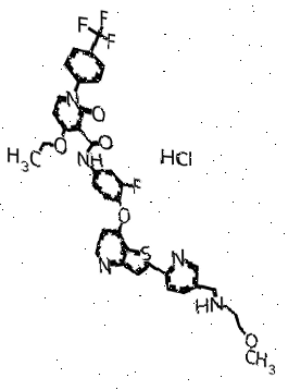 CCOc1ccn(-c2ccc(C(F)(F)F)cc2)c(=O)c1C(=O)Nc1ccc(Oc2ccnc3cc(-c4ccc(CNCCOC)cn4)sc23)c(F)c1.Cl